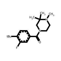 CN1CCN(C(=O)c2ccc(C(C)(C)C)c(F)c2)CC1(C)C